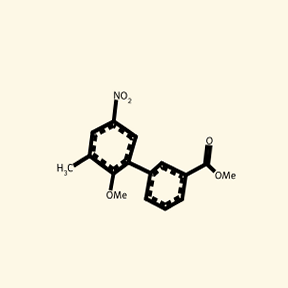 COC(=O)c1cccc(-c2cc([N+](=O)[O-])cc(C)c2OC)c1